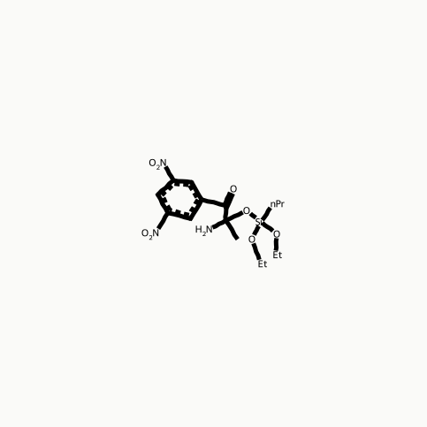 CCC[Si](OCC)(OCC)OC(C)(N)C(=O)c1cc([N+](=O)[O-])cc([N+](=O)[O-])c1